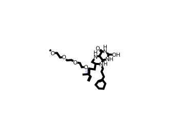 C=C/C(C)=C(\CC1CNC2C(=O)NC(O)N[C@H]2N1CCCC1=CCCCC1)OCCOCCOCCOC